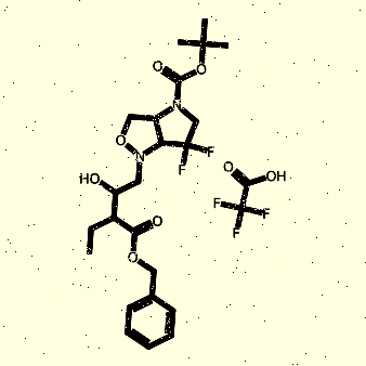 CCC(C(=O)OCc1ccccc1)C(O)CN1OCC2C1C(F)(F)CN2C(=O)OC(C)(C)C.O=C(O)C(F)(F)F